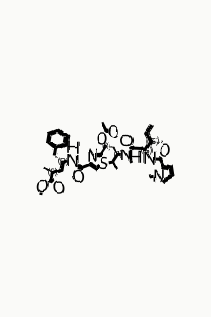 CC[C@H](C)[C@H](NC(=O)c1cccn1C)C(=O)N(C)[C@H](C[C@@H](OC(C)=O)c1nc(C(=O)N[C@@H](Cc2ccccc2)C[C@H](C)C(=O)OC)cs1)C(C)C